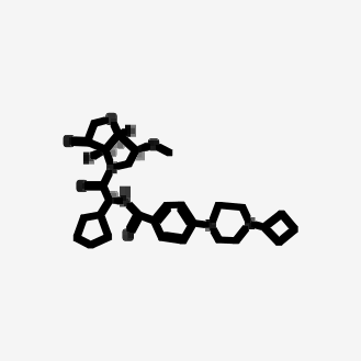 CO[C@H]1CN(C(=O)[C@@H](NC(=O)c2ccc(N3CCN(C4CCC4)CC3)cc2)C2CCCC2)[C@@H]2C(=O)CO[C@H]12